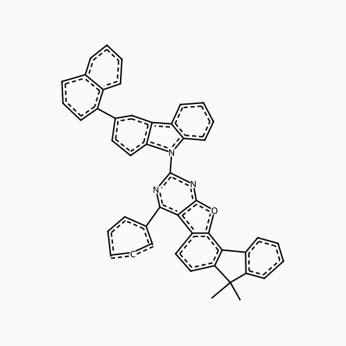 CC1(C)c2ccccc2-c2c1ccc1c2oc2nc(-n3c4ccccc4c4cc(-c5cccc6ccccc56)ccc43)nc(-c3ccccc3)c21